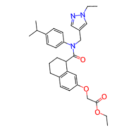 CCOC(=O)COc1ccc2c(c1)C(C(=O)N(Cc1cnn(CC)c1)c1ccc(C(C)C)cc1)CCC2